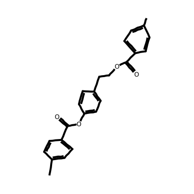 Cc1ccc(C(=O)OCCc2ccc(OC(=O)c3ccc(C)cc3)cc2)cc1